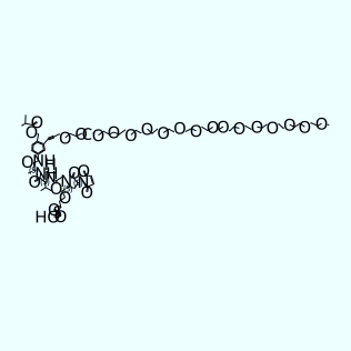 COCCOCCOCCOCCOCCOCCOCOCCOCCOCCOCCOCCOCCOCCOCCOCCOCC#Cc1cc(NC(=O)[C@H](C)NC(=O)[C@@H](NC(=O)CN2C(=O)[C@@H](N3C(=O)C=CC3=O)C[C@H]2COCCS(=O)(=O)O)C(C)C)ccc1COC(=O)C(C)C